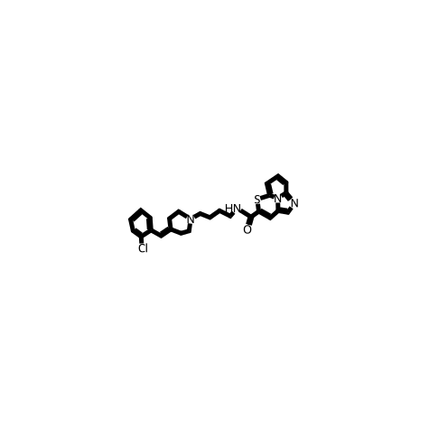 O=C(NCCCCN1CCC(=Cc2ccccc2Cl)CC1)C1=Cc2cnc3cccc(n23)S1